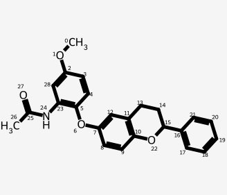 COc1ccc(Oc2ccc3c(c2)CCC(c2ccccc2)O3)c(NC(C)=O)c1